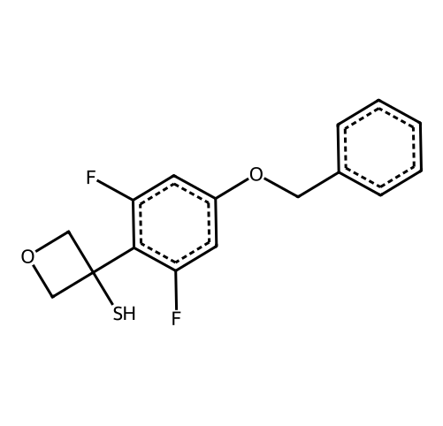 Fc1cc(OCc2ccccc2)cc(F)c1C1(S)COC1